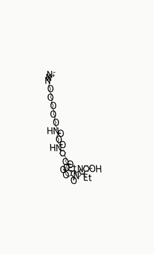 CCc1c2c(nc3ccc(O)cc13)-c1cc3c(c(=O)n1C2)COC(=O)[C@@]3(CC)OC(=O)OCc1ccc(NC(=O)COCC(=O)NCCOCCOCCOCCOCCOCCN=[N+]=[N-])cc1